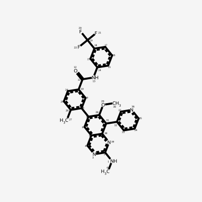 CNc1ncc2cc(-c3cc(C(=O)Nc4cccc(C(F)(F)F)c4)ccc3C)c(OC)c(-c3cccnc3)c2n1